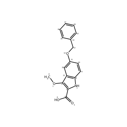 COc1c(C(=O)O)[nH]c2ccc(OCc3ccccc3)cc12